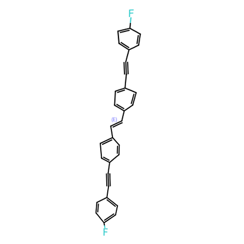 Fc1ccc(C#Cc2ccc(/C=C/c3ccc(C#Cc4ccc(F)cc4)cc3)cc2)cc1